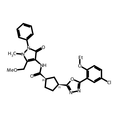 CCOc1ccc(Cl)cc1-c1nnc([C@H]2CC[C@@H](C(=O)Nc3c(COC)n(C)n(-c4ccccc4)c3=O)C2)o1